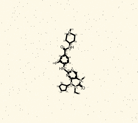 CCN1C(=O)N(C)c2cnc(Nc3ccc(C(=O)NC4CCN(C)CC4)cc3F)nc2N1C1CCCC1